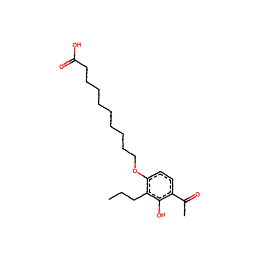 CCCc1c(OCCCCCCCCCC(=O)O)ccc(C(C)=O)c1O